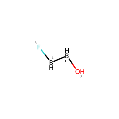 OBBF